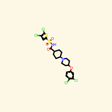 O=C(NS(=O)(=O)c1cc(Cl)c(Cl)s1)C1CCC(N2CCC(Oc3ccc(Cl)c(Cl)c3)CC2)CC1